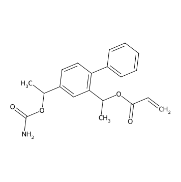 C=CC(=O)OC(C)c1cc(C(C)OC(N)=O)ccc1-c1ccccc1